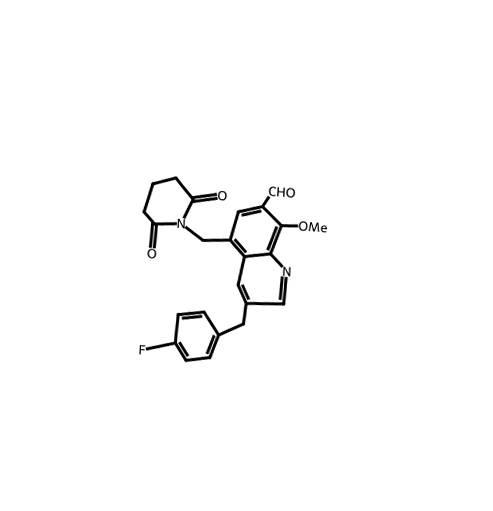 COc1c(C=O)cc(CN2C(=O)CCCC2=O)c2cc(Cc3ccc(F)cc3)cnc12